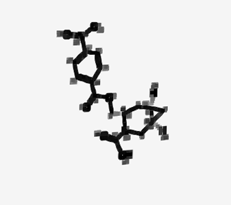 O=C(OC[C@@H]1C[C@H]2C[C@H]2CN1C(=O)O)c1ccc([N+](=O)[O-])cc1